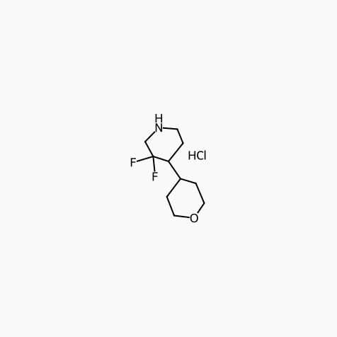 Cl.FC1(F)CNCCC1C1CCOCC1